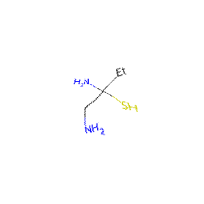 CCC(N)(S)CN